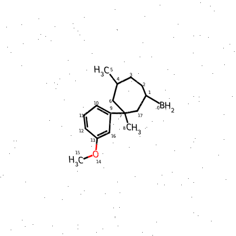 BC1CCC(C)CC(C)(c2cccc(OC)c2)C1